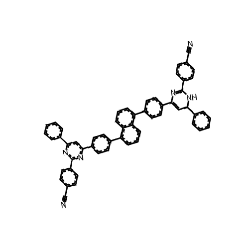 N#Cc1ccc(C2=NC(c3ccc(-c4cccc5c(-c6ccc(-c7cc(-c8ccccc8)nc(-c8ccc(C#N)cc8)n7)cc6)cccc45)cc3)=CC(c3ccccc3)N2)cc1